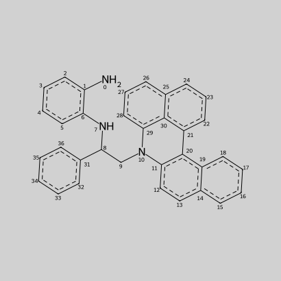 Nc1ccccc1NC(CN1c2ccc3ccccc3c2-c2cccc3cccc1c23)c1ccccc1